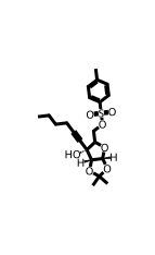 CCCCC#C[C@@]1(O)C(COS(=O)(=O)c2ccc(C)cc2)O[C@@H]2OC(C)(C)O[C@@H]21